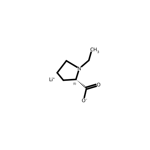 CCN1CCC[C@H]1C(=O)[O-].[Li+]